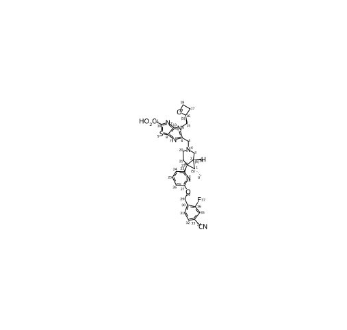 C[C@H]1[C@H]2CN(Cc3nc4sc(C(=O)O)nc4n3C[C@@H]3CCO3)CC[C@]21c1cccc(OCc2ccc(C#N)cc2F)n1